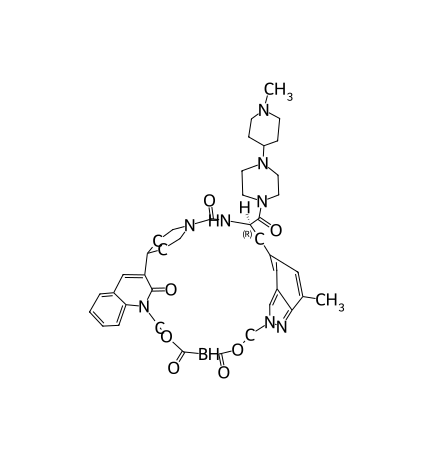 Cc1cc2cc3cn(nc13)COC(=O)BC(=O)OCn1c(=O)c(cc3ccccc31)C1CCN(CC1)C(=O)N[C@@H](C(=O)N1CCN(C3CCN(C)CC3)CC1)C2